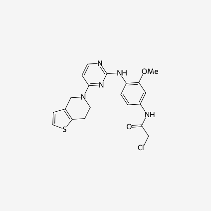 COc1cc(NC(=O)CCl)ccc1Nc1nccc(N2CCc3sccc3C2)n1